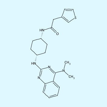 CN(C)c1nc(N[C@H]2CC[C@@H](NC(=O)Cc3ccsc3)CC2)nc2ccccc12